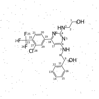 OCCNc1nc(NC[C@H](O)c2ccccc2)cc(-c2ccc(C(F)(F)F)c(Cl)c2)n1